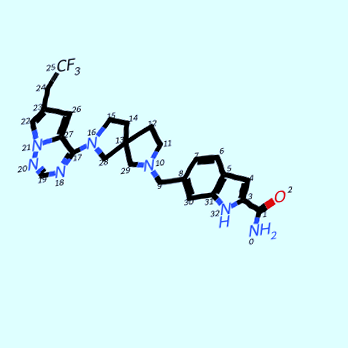 NC(=O)c1cc2ccc(CN3CCC4(CCN(c5ncnn6cc(CC(F)(F)F)cc56)C4)C3)cc2[nH]1